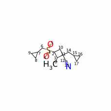 CC1C(S(=O)(=O)CC2CC2)CC1(C#N)CC1CC1